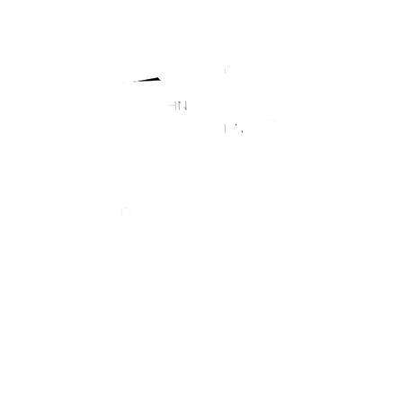 CCNC(=O)NC[C@@H]1C[C@H]1c1cccc2oc(CCCCc3ccccc3)cc12